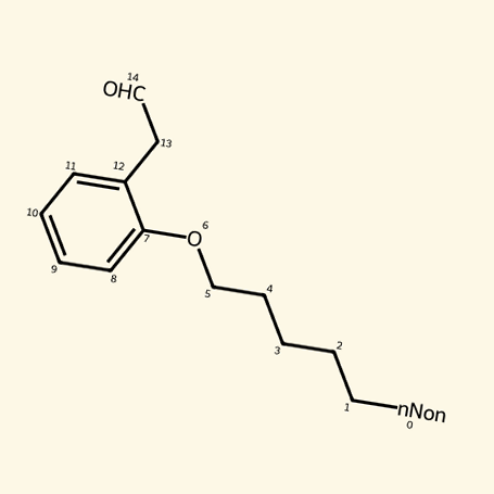 CCCCCCCCCCCCCCOc1ccccc1CC=O